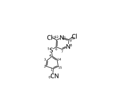 N#Cc1ccc(Sc2cnc(Cl)nc2Cl)cc1